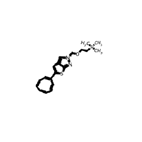 C[Si](C)(C)CCOCn1cc2cc(C3=C/C=C\C=C/C=C\3)sc2n1